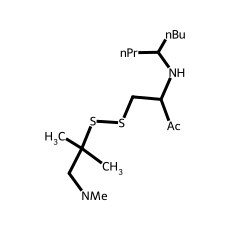 CCCCC(CCC)NC(CSSC(C)(C)CNC)C(C)=O